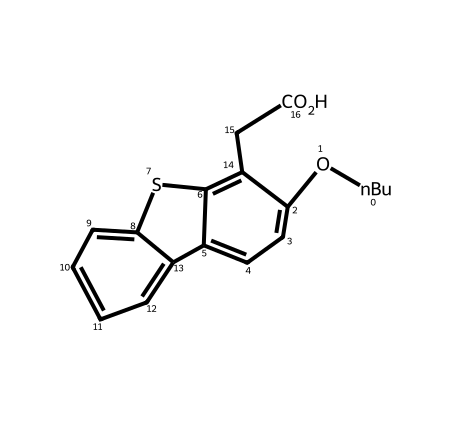 CCCCOc1ccc2c(sc3ccccc32)c1CC(=O)O